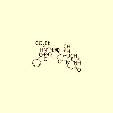 C#C[C@@]1(O)[C@H](O)[C@@H](COP(=O)(N[C@@H](C)C(=O)OCC)Oc2ccccc2)O[C@H]1N1C=CC(=O)NC1=C